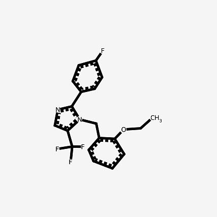 CCOc1ccccc1Cn1c(C(F)(F)F)cnc1-c1ccc(F)cc1